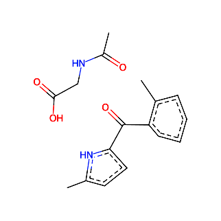 CC(=O)NCC(=O)O.Cc1ccc(C(=O)c2ccccc2C)[nH]1